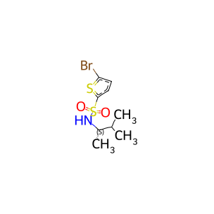 CC(C)[C@H](C)NS(=O)(=O)c1ccc(Br)s1